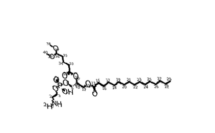 [2H]NCCOP(=O)(O)OC[C@@H](COC(=O)CCCCCCCCCCCCCCC)OC(=O)CCCC(OC)OC